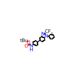 CC(C)(C)OC(=O)Nc1ccc(-c2ccc3c(c2)nc(C(F)(F)F)n3-c2ccccc2)cc1